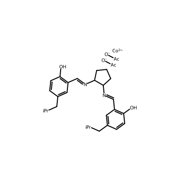 CC(=O)[O-].CC(=O)[O-].CC(C)Cc1ccc(O)c(C=NC2CCCC2N=Cc2cc(CC(C)C)ccc2O)c1.[Co+2]